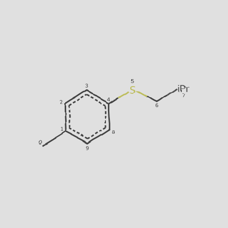 Cc1ccc(SCC(C)C)cc1